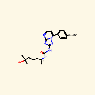 COc1ccc(-c2ccnc3nc(NC(=O)N[C@@H](C)CCCC(C)(C)O)nn23)cc1